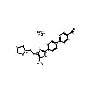 Cc1oc(-c2ccc(-c3ccc(C#N)cn3)cc2)nc1CCN1CCCC1.Cl.Cl